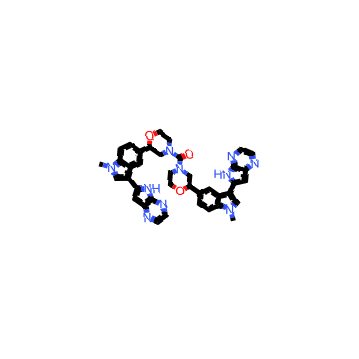 Cn1cc(-c2cc3nccnc3[nH]2)c2cc(C3CN(C(=O)N4CCOC(c5ccc6c(c5)c(-c5cc7nccnc7[nH]5)cn6C)C4)CCO3)ccc21